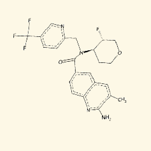 Cc1cc2cc(C(=O)N(Cc3ccc(C(F)(F)F)cn3)[C@@H]3CCOC[C@H]3F)ccc2nc1N